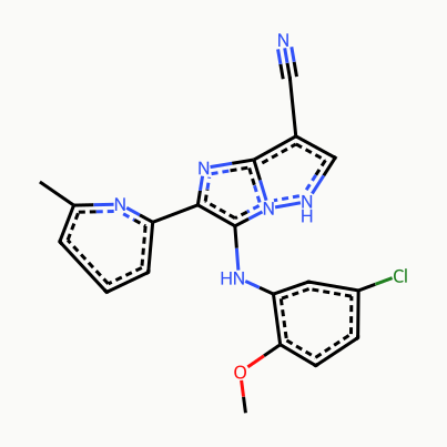 COc1ccc(Cl)cc1Nc1c(-c2cccc(C)n2)nc2c(C#N)c[nH]n12